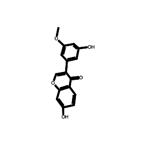 COc1cc(O)cc(-c2coc3cc(O)ccc3c2=O)c1